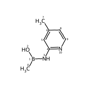 CB(O)Nc1cc(C)ccn1